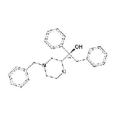 O[C@](Cc1ccccc1)(c1ccccc1)C1CN(Cc2ccccc2)CCO1